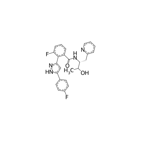 CC(O)[C@@H](Cc1ccccn1)NC(=O)c1cccc(F)c1-c1cc(-c2ccc(F)cc2)[nH]n1